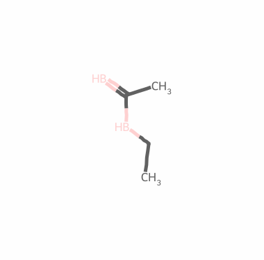 B=C(C)BCC